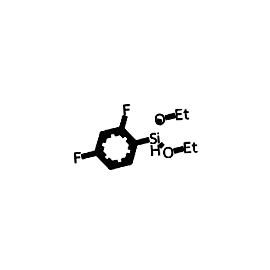 CCO[SiH](OCC)c1ccc(F)cc1F